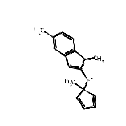 Cc1ccc2c(c1)C=[C]([Hf][C]1(C)C=CC=C1)C2C